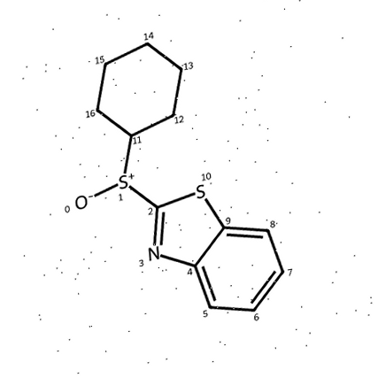 [O-][S+](c1nc2ccccc2s1)C1CCCCC1